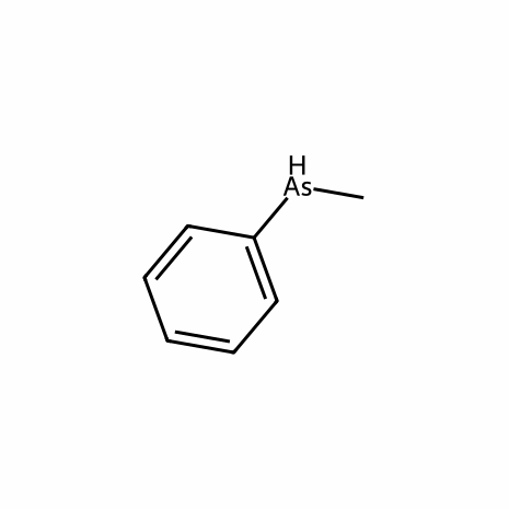 C[AsH]c1ccccc1